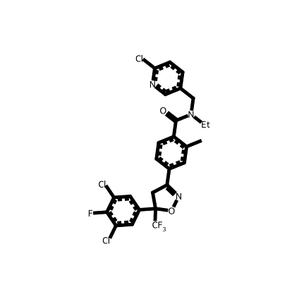 CCN(Cc1ccc(Cl)nc1)C(=O)c1ccc(C2=NOC(c3cc(Cl)c(F)c(Cl)c3)(C(F)(F)F)C2)cc1C